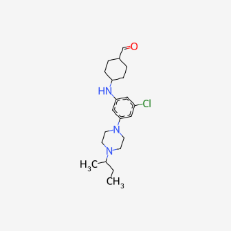 CCC(C)N1CCN(c2cc(Cl)cc(NC3CCC(C=O)CC3)c2)CC1